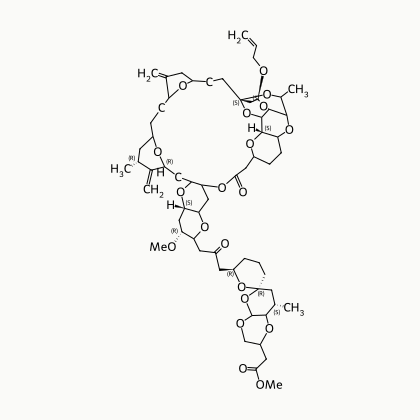 C=CCO[C@@H]1C[C@@]23CCC4CC(=C)C(CCC5C[C@@H](C)C(=C)[C@@H](CC6O[C@H]7C[C@@H](OC)C(CC(=O)C[C@H]8CCC[C@@]9(C[C@H](C)C%10OC(CC(=O)OC)COC%10O9)O8)OC7CC6OC(=O)CC6CCC7OC(C(C)O2)C(O1)C(O3)[C@H]7O6)O5)O4